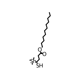 CCCCCCCCCCCCOC(=O)CC[CH](S)[Sn]([CH3])([CH3])[CH3]